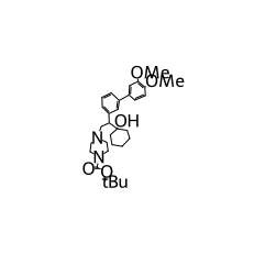 COc1ccc(-c2cccc(C(CN3CCN(C(=O)OC(C)(C)C)CC3)C3(O)CCCCC3)c2)cc1OC